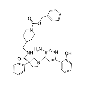 Nc1nnc(-c2ccccc2O)cc1N1CC[C@](C(=O)NCC2CCN(C(=O)OCc3ccccc3)CC2)(c2ccccc2)C1